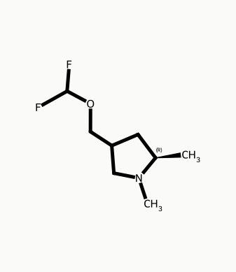 C[C@@H]1CC(COC(F)F)CN1C